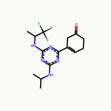 CC(C)Nc1nc(NC(C)C(F)(F)F)nc(C2=CCCC(=O)C2)n1